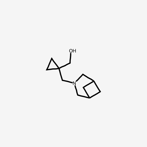 OCC1(CN2CC3CC(C3)C2)CC1